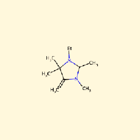 C=C1N(C)C(C)N(CC)C1(C)C